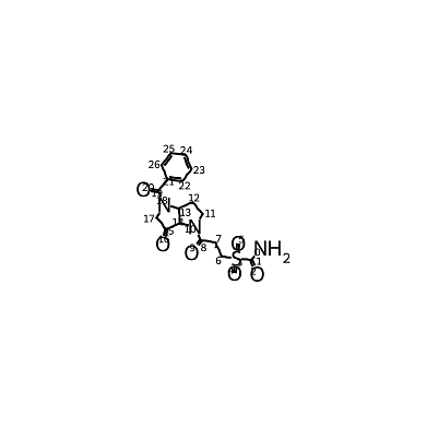 NC(=O)S(=O)(=O)C[CH]C(=O)N1CCC2C1C(=O)CN2C(=O)c1ccccc1